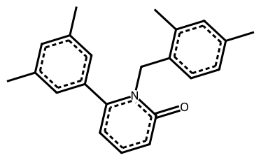 Cc1cc(C)cc(-c2cccc(=O)n2Cc2ccc(C)cc2C)c1